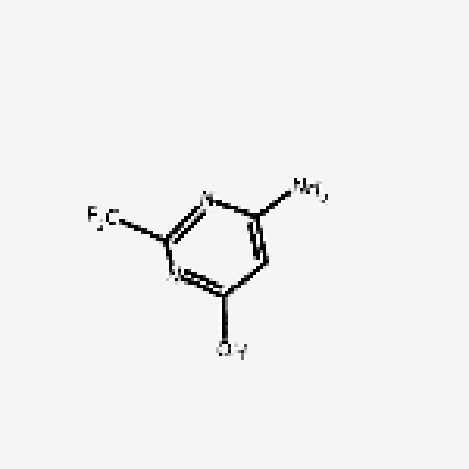 Nc1cc(O)nc(C(F)(F)F)n1